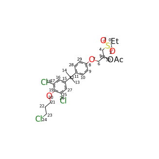 CCS(=O)(=O)C[C@H](COc1ccc(C(C)(C)c2cc(Cl)c(OCCCCl)c(Cl)c2)cc1)OC(C)=O